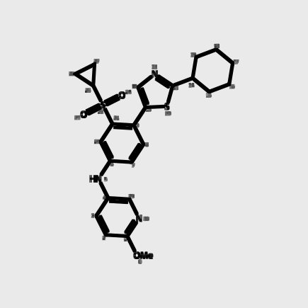 COc1ccc(Nc2ccc(-c3cnc(C4CCCCC4)s3)c(S(=O)(=O)C3CC3)c2)cn1